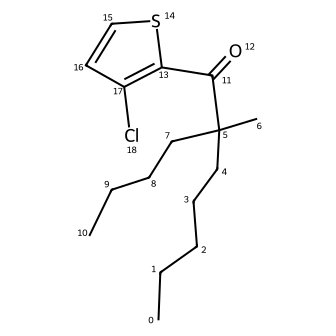 CCCCCC(C)(CCCC)C(=O)c1sccc1Cl